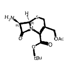 CC(=O)OCC1=C(C(=O)OC(C)(C)C)N2C(=O)[C@@H](N)[C@H]2SC1